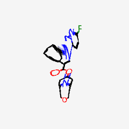 O=C(OC1CC2COCC(C1)N2)c1cn(-c2ccc(F)nn2)c2ccccc12